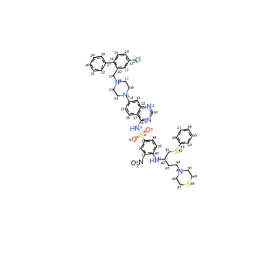 O=[N+]([O-])c1cc(S(=O)(=O)Nc2ncnc3cc(N4CCN(Cc5cc(Cl)ccc5-c5ccccc5)CC4)ccc23)ccc1NC(CCN1CCSCC1)CSc1ccccc1